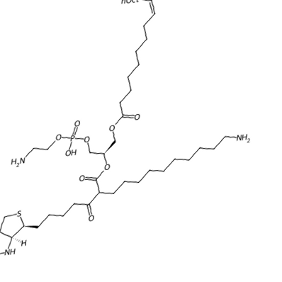 CCCCCCCC/C=C\CCCCCCCC(=O)OC[C@H](COP(=O)(O)OCCN)OC(=O)C(CCCCCCCCCCN)C(=O)CCCC[C@@H]1SC[C@H]2NC(=O)N[C@H]12